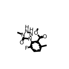 COC(=O)c1c(C)ccc(F)c1N1NNN(C)C1=O